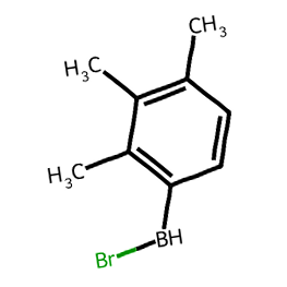 Cc1ccc(BBr)c(C)c1C